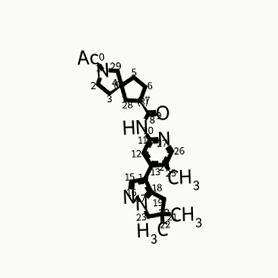 CC(=O)N1CC[C@]2(CC[C@@H](C(=O)Nc3cc(-c4cnn5c4CC(C)(C)C5)c(C)cn3)C2)C1